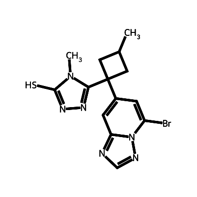 CC1CC(c2cc(Br)n3ncnc3c2)(c2nnc(S)n2C)C1